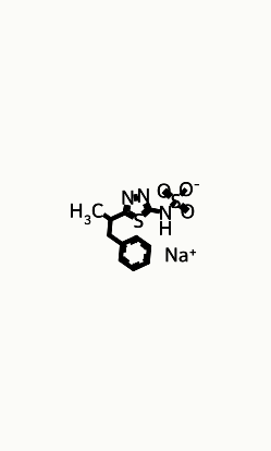 CC(Cc1ccccc1)c1nnc(NS(=O)(=O)[O-])s1.[Na+]